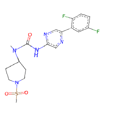 CN(C(=O)Nc1cnc(-c2cc(F)ccc2F)cn1)C1CCN(S(C)(=O)=O)CC1